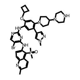 Cc1ccc2c(P(C)(C)=O)c(Nc3nc(Nc4cc(-c5cnn(C)c5)c(N5CCC(N6CCNCC6)CC5)cc4OC4CCC4)ncc3Br)ccc2n1